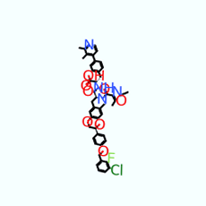 Cc1nc(C(=O)N2Cc3cc4c(cc3C[C@H]2C(=O)N[C@@H](Cc2ccc(-c3ccnc(C)c3C)cc2)C(=O)O)OC[C@H](c2ccc(OCc3cccc(Cl)c3F)cc2)O4)c(C)o1